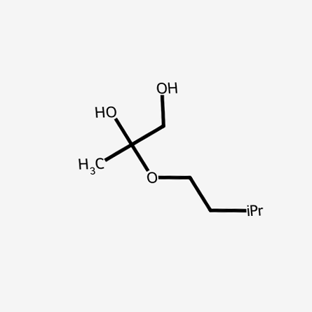 CC(C)CCOC(C)(O)CO